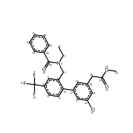 CCN(Cc1cc(C(F)(F)F)ccc1-c1cc(Cl)cc(CC(=O)OC)c1)C(=O)c1ccccc1